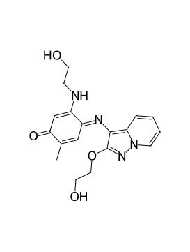 CC1=CC(=Nc2c(OCCO)nn3ccccc23)C(NCCO)=CC1=O